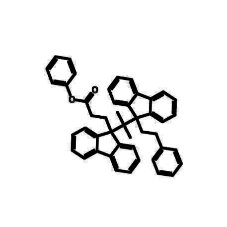 CC(C)(C1(CCC(=O)Oc2ccccc2)c2ccccc2-c2ccccc21)C1(CCc2ccccc2)c2ccccc2-c2ccccc21